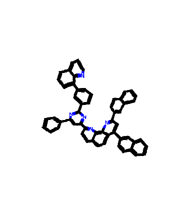 c1ccc(-c2cc(-c3ccc4ccc5c(-c6ccc7ccccc7c6)cc(-c6ccc7ccccc7c6)nc5c4n3)nc(-c3cccc(-c4cccc5cccnc45)c3)n2)cc1